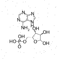 Nc1ncnc2nc[nH]c12.O=P(O)(O)OC[C@H]1OC(O)[C@H](O)[C@@H]1O